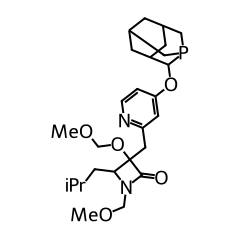 COCOC1(Cc2cc(OC3C4CC5CC(C4)CP3C5)ccn2)C(=O)N(COC)C1CC(C)C